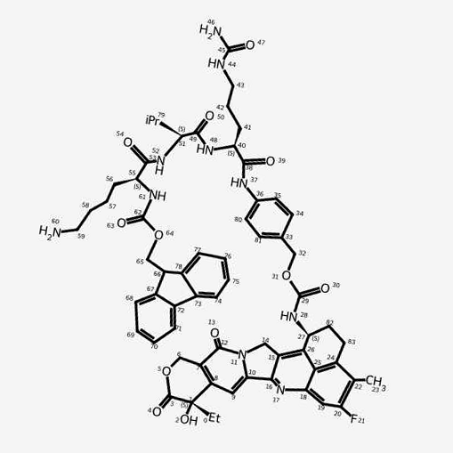 CC[C@@]1(O)C(=O)OCc2c1cc1n(c2=O)Cc2c-1nc1cc(F)c(C)c3c1c2[C@@H](NC(=O)OCc1ccc(NC(=O)[C@H](CCCNC(N)=O)NC(=O)[C@@H](NC(=O)[C@H](CCCCN)NC(=O)OCC2c4ccccc4-c4ccccc42)C(C)C)cc1)CC3